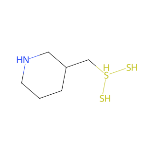 S[SH](S)CC1CCCNC1